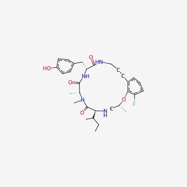 CCC(C)[C@@H]1NC[C@@H](C)Oc2c(F)cccc2CCCNC(=O)[C@@H](Cc2ccc(O)cc2)NC(=O)[C@@H](C)N(C)C1=O